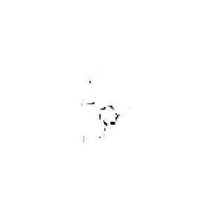 CCOC(=O)c1cc(Cl)cc(CBr)c1